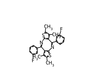 Cc1sc2c(c1C)C(c1cccc(F)c1)=Nc1sc(C)c(C)c1C(c1cccc(F)c1)=N2